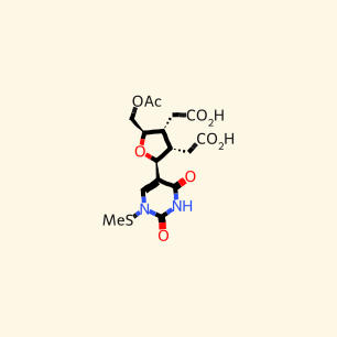 CSn1cc([C@H]2O[C@@H](COC(C)=O)[C@H](CC(=O)O)[C@@H]2CC(=O)O)c(=O)[nH]c1=O